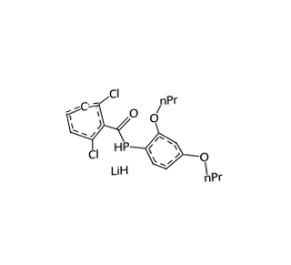 CCCOc1ccc(PC(=O)c2c(Cl)cccc2Cl)c(OCCC)c1.[LiH]